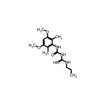 CCCNC(=N)NC(=O)Nc1c(C)c(OC)cc(OC)c1C